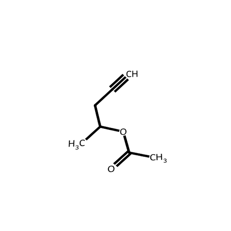 C#CCC(C)OC(C)=O